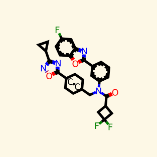 O=C(C1CC(F)(F)C1)N(CC12CCC(c3nc(C4CC4)no3)(CC1)CC2)c1cccc(-c2nc3cc(F)ccc3o2)c1